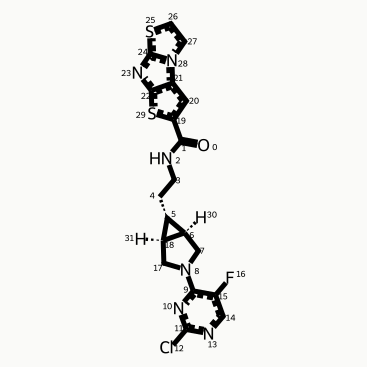 O=C(NCC[C@@H]1[C@H]2CN(c3nc(Cl)ncc3F)C[C@@H]12)c1cc2c(nc3sccn32)s1